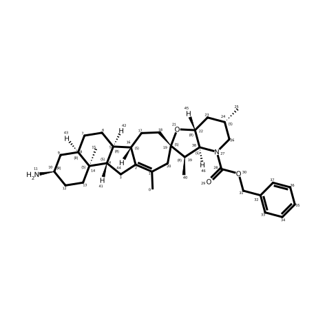 CC1=C2C[C@H]3[C@@H](CC[C@@H]4C[C@H](N)CC[C@@]43C)[C@@H]2CC[C@@]2(C1)O[C@@H]1C[C@H](C)CN(C(=O)OCc3ccccc3)[C@H]1[C@H]2C